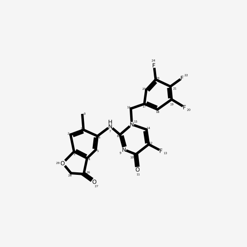 Cc1cc2c(cc1Nc1nc(=O)c(F)cn1Cc1cc(F)c(F)c(F)c1)C(=O)CO2